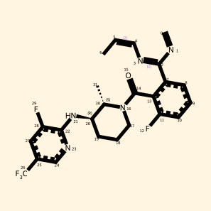 C=N/C(=N\C=C/C)c1cccc(F)c1C(=O)N1CCC[C@@H](Nc2ncc(C(F)(F)F)cc2F)[C@@H]1C